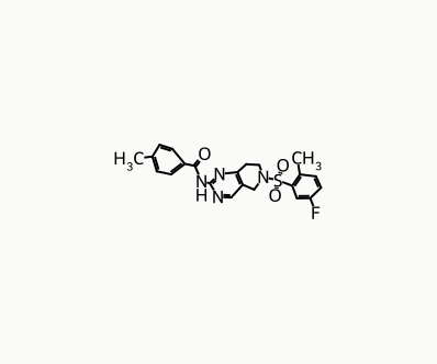 Cc1ccc(C(=O)Nc2ncc3c(n2)CCN(S(=O)(=O)c2cc(F)ccc2C)C3)cc1